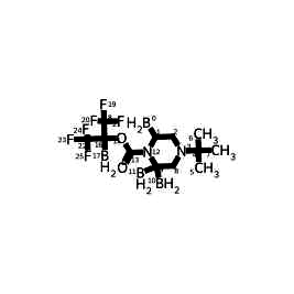 BC1CN(C(C)(C)C)CC(B)(B)N1C(=O)OC(B)(C(F)(F)F)C(F)(F)F